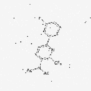 CC(=O)N(C(C)=O)c1ncc(-c2cncc(F)c2)nc1C(F)(F)F